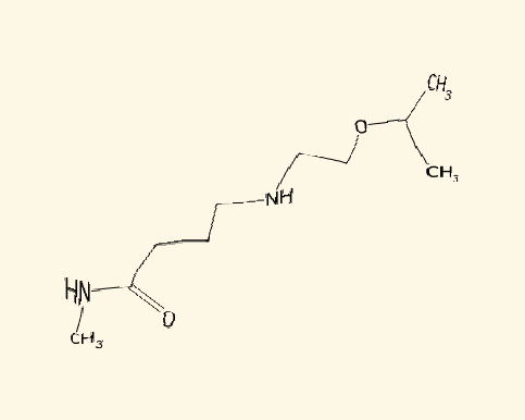 CNC(=O)CCCNCCOC(C)C